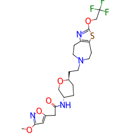 COc1cc(CC(=O)N[C@H]2CC[C@H](CCN3CCc4nc(OCC(F)(F)F)sc4CC3)OC2)on1